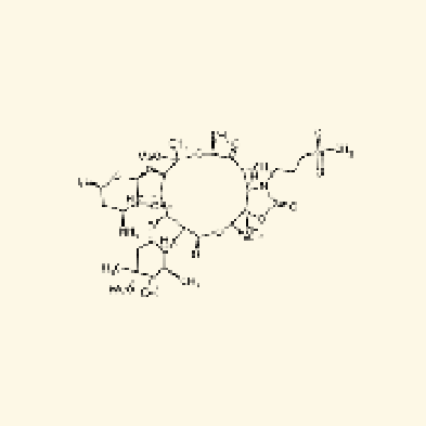 CC[C@H]1OC(=O)[C@H](C)[C@@H](O[C@H]2C[C@@](C)(OC)[C@@]3(CO3)[C@H](C)O2)[C@H](C)[C@@H](O[C@@H]2O[C@H](C)C[C@H](N)[C@H]2OC(C)=O)[C@@](C)(OC)C[C@@H](C)C(=O)[C@H](C)[C@H]2N(CCCS(C)(=O)=O)C(=O)O[C@]12C